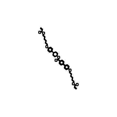 C=CC(=O)OCCCCCCOc1ccc(-c2ccc(C(=O)O[C@H]3CC[C@H](c4ccc(OCCCCCCOC(=O)C=C)cc4)CC3)cc2)cc1